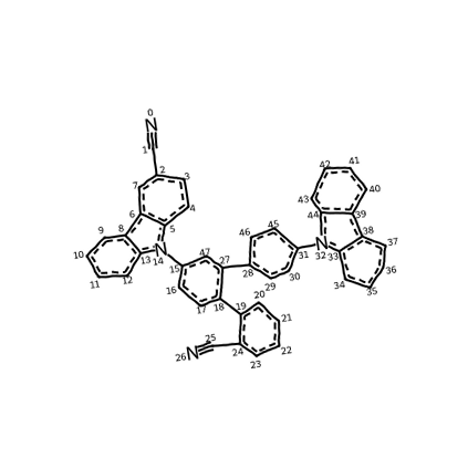 N#Cc1ccc2c(c1)c1ccccc1n2-c1ccc(-c2ccccc2C#N)c(-c2ccc(-n3c4ccccc4c4ccccc43)cc2)c1